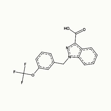 O=C(O)c1nn(Cc2cccc(OC(F)(F)F)c2)c2ccccc12